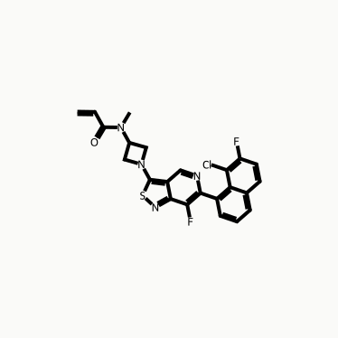 C=CC(=O)N(C)C1CN(c2snc3c(F)c(-c4cccc5ccc(F)c(Cl)c45)ncc23)C1